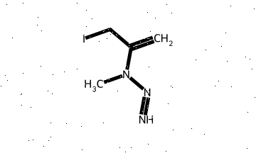 C=C(CI)N(C)N=N